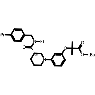 CCN(Cc1ccc(C(C)C)cc1)C(=O)[C@H]1CCCN(c2cccc(OC(C)(C)C(=O)OC(C)(C)C)c2)C1